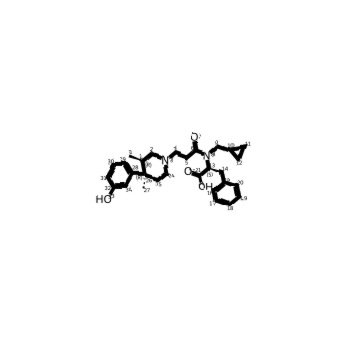 C[C@H]1CN(CCC(=O)N(CC2CC2)[C@@H](Cc2ccccc2)C(=O)O)CC[C@@]1(C)c1cccc(O)c1